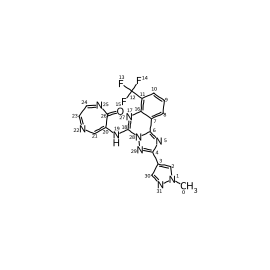 Cn1cc(-c2nc3c4cccc(C(F)(F)F)c4nc(Nc4cnccnc4=O)n3n2)cn1